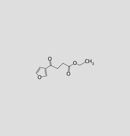 CCOC(=O)CCC(=O)c1ccoc1